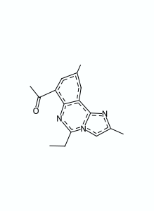 CCc1nc2c(C(C)=O)cc(C)cc2c2nc(C)cn12